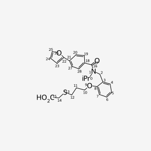 CC(C)N(Cc1ccccc1OCCCSCC(=O)O)C(=O)c1ccc(-c2ccco2)cc1